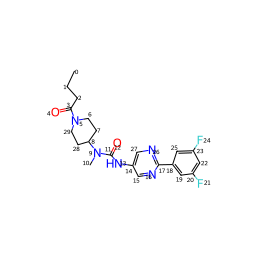 CCCC(=O)N1CCC(N(C)C(=O)Nc2cnc(-c3cc(F)cc(F)c3)nc2)CC1